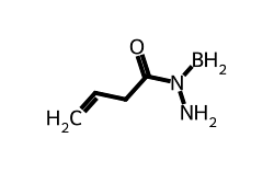 BN(N)C(=O)CC=C